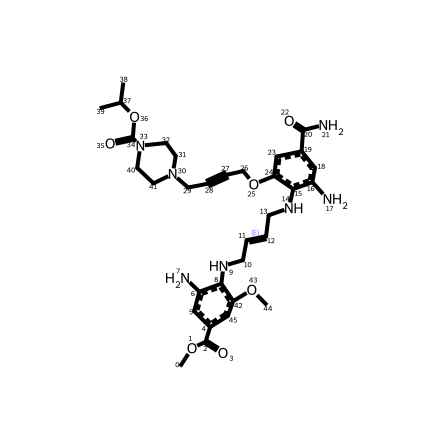 COC(=O)c1cc(N)c(NC/C=C/CNc2c(N)cc(C(N)=O)cc2OCC#CCN2CCN(C(=O)OC(C)C)CC2)c(OC)c1